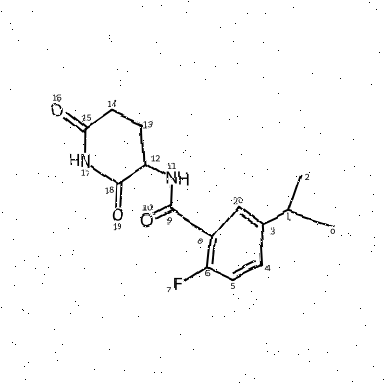 CC(C)c1ccc(F)c(C(=O)NC2CCC(=O)NC2=O)c1